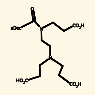 CCCCCCCCCCC(=O)N(CCC(=O)O)CCN(CCC(=O)O)CCC(=O)O